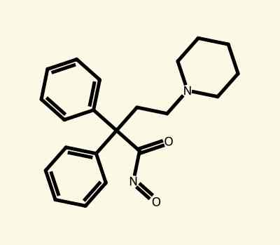 O=NC(=O)C(CCN1CCCCC1)(c1ccccc1)c1ccccc1